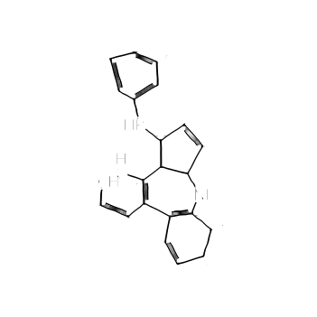 C/C=C\C1=C(C)C2C(C=CC2Pc2ccccc2)NC2=C1C=CCC2